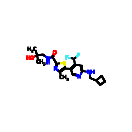 Cc1nc(C(=O)NCC(C)(C)O)sc1-c1cnc(NCC2CCC2)cc1C(F)F